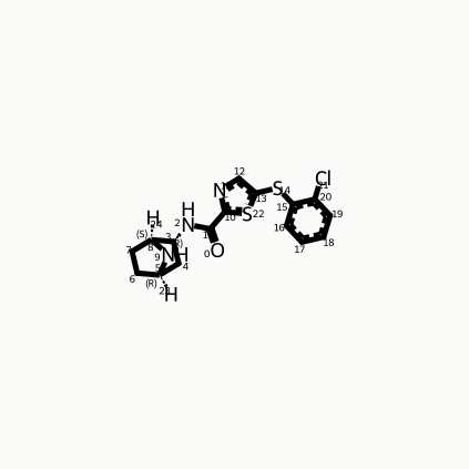 O=C(N[C@@H]1C[C@H]2CC[C@@H]1N2)c1ncc(Sc2ccccc2Cl)s1